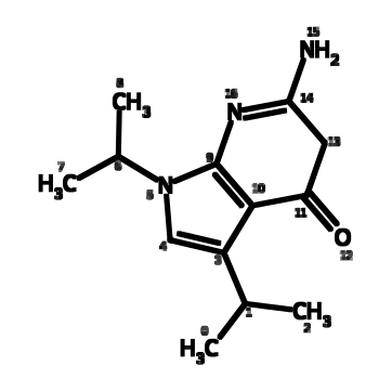 CC(C)c1cn(C(C)C)c2c1C(=O)CC(N)=N2